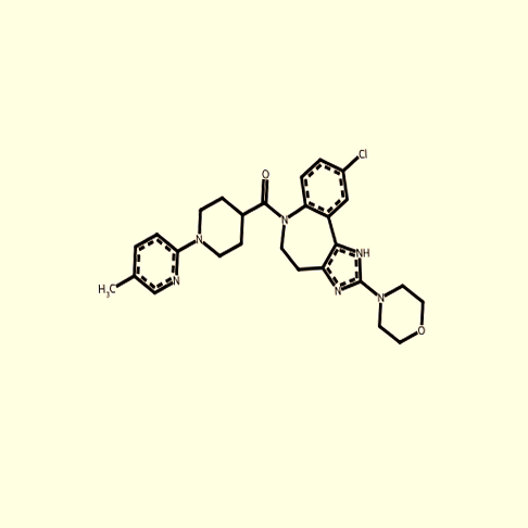 Cc1ccc(N2CCC(C(=O)N3CCc4nc(N5CCOCC5)[nH]c4-c4cc(Cl)ccc43)CC2)nc1